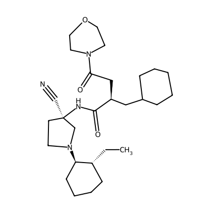 CC[C@@H]1CCCC[C@H]1N1CC[C@@](C#N)(NC(=O)[C@@H](CC(=O)N2CCOCC2)CC2CCCCC2)C1